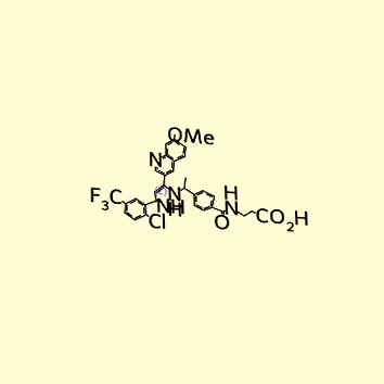 COc1ccc2cc(/C(=C/C(=N)c3cc(C(F)(F)F)ccc3Cl)NC(C)c3ccc(C(=O)NCCC(=O)O)cc3)cnc2c1